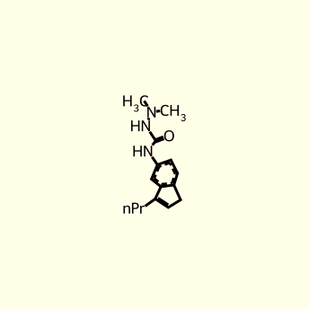 CCCC1=CCc2ccc(NC(=O)NN(C)C)cc21